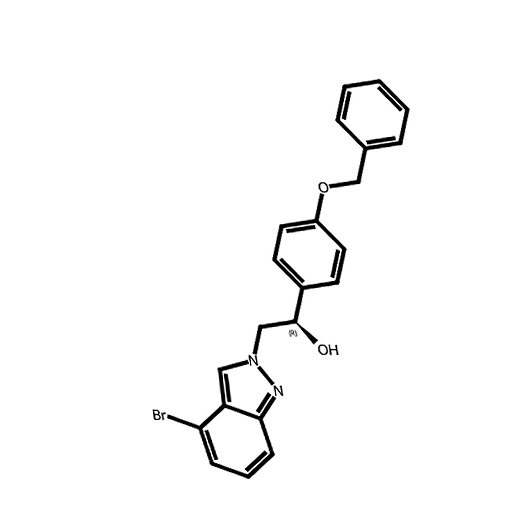 O[C@@H](Cn1cc2c(Br)cccc2n1)c1ccc(OCc2ccccc2)cc1